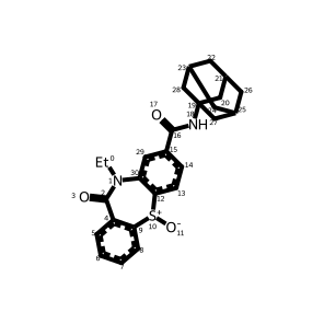 CCN1C(=O)c2ccccc2[S+]([O-])c2ccc(C(=O)NC34CC5CC(CC(C5)C3)C4)cc21